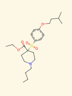 CCCCN1CCC(C(=O)OCC)(S(=O)(=O)c2ccc(OCCC(C)C)cc2)CC1